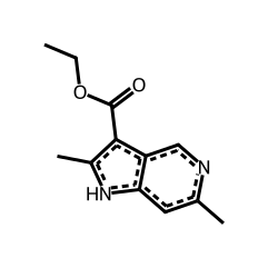 CCOC(=O)c1c(C)[nH]c2cc(C)ncc12